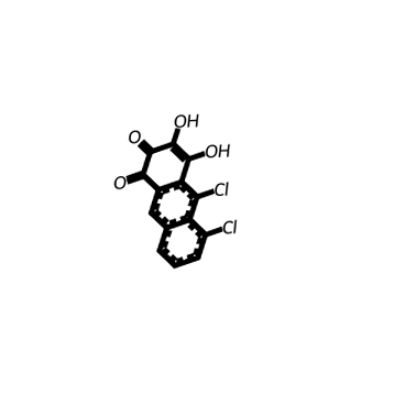 O=C1C(=O)c2cc3cccc(Cl)c3c(Cl)c2C(O)=C1O